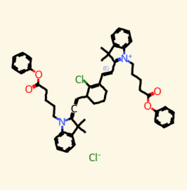 CC1(C)C(=C=CC2CCCC(/C=C/C3=[N+](CCCCC(=O)Oc4ccccc4)c4ccccc4C3(C)C)=C2Cl)N(CCCCC(=O)Oc2ccccc2)c2ccccc21.[Cl-]